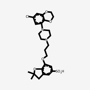 CC1(C)Cc2cc(S(=O)(=O)O)cc(OCCCN3CCN(c4cc(Cl)cc5c4OCCO5)CC3)c2O1